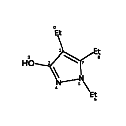 CCc1c(O)nn(CC)c1CC